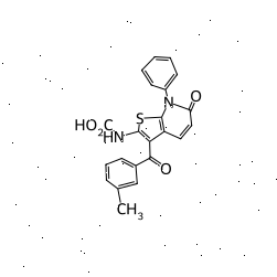 Cc1cccc(C(=O)c2c(NC(=O)O)sc3c2ccc(=O)n3-c2ccccc2)c1